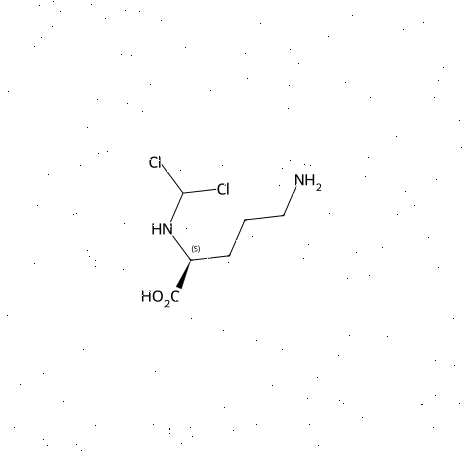 NCCC[C@H](NC(Cl)Cl)C(=O)O